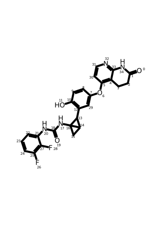 O=C1CCc2c(Oc3ccc(O)c(C4C5CC54NC(=O)Nc4cccc(F)c4F)c3)ccnc2N1